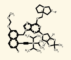 COCOc1cc(Cn2cnc3c(OC[C@@]45CCCN4C[C@H](F)C5)nc(N4C[C@@H]5OC(C)(C)O[C@@H]5C4)nc32)c2c(C#C[Si](C(C)C)(C(C)C)C(C)C)c(F)ccc2c1